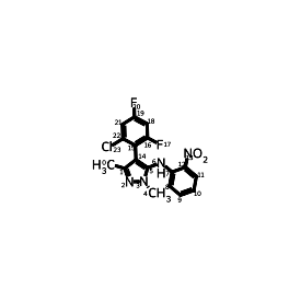 Cc1nn(C)c(Nc2ccccc2[N+](=O)[O-])c1-c1c(F)cc(F)cc1Cl